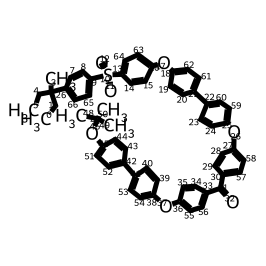 CCC(C)(CC)c1ccc(S(=O)(=O)c2ccc(Oc3ccc(-c4ccc(Oc5ccc(C(=O)c6ccc(Oc7ccc(-c8ccc(OC(C)(C)C)cc8)cc7)cc6)cc5)cc4)cc3)cc2)cc1